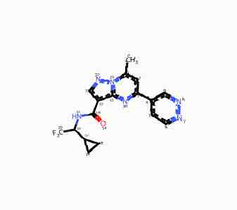 Cc1cc(-c2ccnnc2)nc2c(C(=O)NC(C3CC3)C(F)(F)F)cnn12